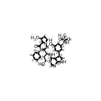 Cc1ccn2nc(C(CCO)Nc3ncnc4[nH]cc(-c5cc(O)cc(NS(C)(=O)=O)c5)c34)n(-c3ccccc3)c(=O)c12